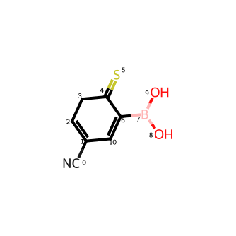 N#CC1=CCC(=S)C(B(O)O)=C1